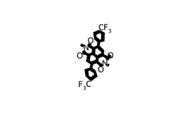 CN1C(=O)c2cc(-c3ccc(C(F)(F)F)cc3)c3c4c(cc(-c5ccc(C(F)(F)F)cc5)c(c24)C1=O)C(=O)N(C)C3=O